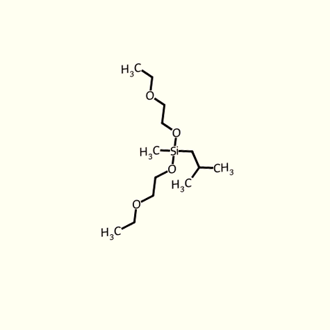 CCOCCO[Si](C)(CC(C)C)OCCOCC